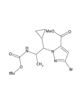 COC(=O)c1cc(Br)nn1C(C1CC1)C(C)NC(=O)OC(C)(C)C